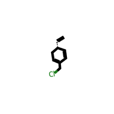 C=C[C@@H]1C=CC(CCl)=CC1